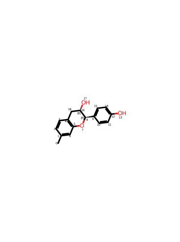 Cc1ccc2c(c1)O[C@H](c1ccc(O)cc1)[C@H](O)C2